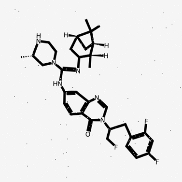 C[C@@H]1C(N=C(Nc2ccc3c(=O)n(C(CF)Cc4ccc(F)cc4F)cnc3c2)N2CCN[C@@H](C)C2)C[C@H]2C[C@@H]1C2(C)C